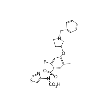 Cc1cc(S(=O)(=O)N(C(=O)O)c2cscn2)c(F)cc1OC1CCN(Cc2ccccc2)C1